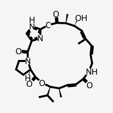 CC1=C\[C@@H](O)[C@H](C)C(=O)Cc2nc(c[nH]2)C(=O)N2CCC[C@@H]2C(=O)O[C@H](C(C)C)[C@H](C)/C=C/C(=O)NC\C=C\1